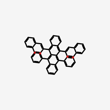 c1ccc(-c2c3ccccc3c(-c3ccccc3)c3c(-c4ccc5ccccc5c4)c4ccccc4c(-c4ccc5ccccc5c4)c23)cc1